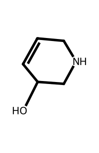 OC1C=CCNC1